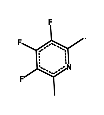 [CH2]c1nc(C)c(F)c(F)c1F